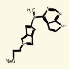 COCC[N+]1=CC2=CC(N(C)c3ncnc4[nH]ccc34)=CC2=C1